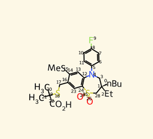 CCCC[C@]1(CC)CN(c2ccc(F)cc2)c2cc(SC)c(CSC(C)(C)C(=O)O)cc2S(=O)(=O)C1